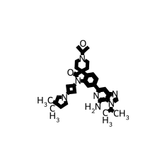 CC(C)n1cnc2cc(-c3ccc4c(c3)N(C3CC(N5CCC(C)(C)C5)C3)C(=O)C43CCN(C4COC4)CC3)nc(N)c21